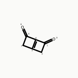 O=C1CC2=C1C(=O)C2